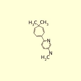 C=Nc1ccc(C2=CC=CC(C)(C)C=C2)nc1